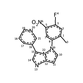 Cc1cc(F)c([N+](=O)[O-])cc1-n1ccc2ncc(-c3cccnc3)n21